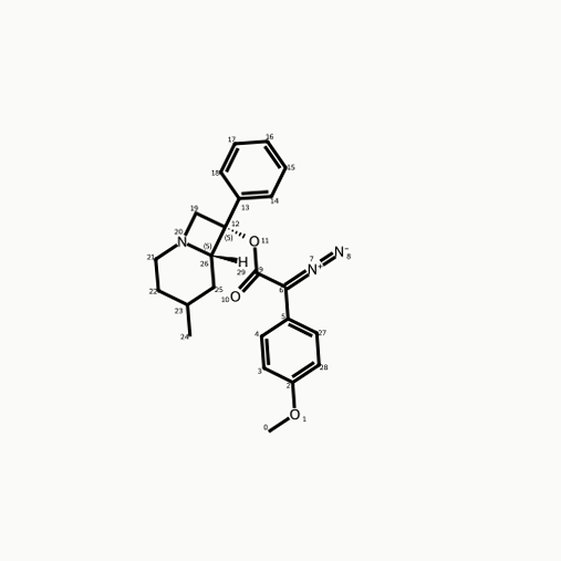 COc1ccc(C(=[N+]=[N-])C(=O)O[C@@]2(c3ccccc3)CN3CCC(C)C[C@H]32)cc1